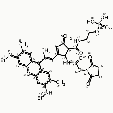 C=C1C=C(/C=C(\C)c2c3cc(C)/c(=N/CC)cc-3oc3cc(NCC)c(C)cc23)C(NC(=O)ON2C(=O)CCC2=O)C1C(=O)NCCOP(=O)(O)O